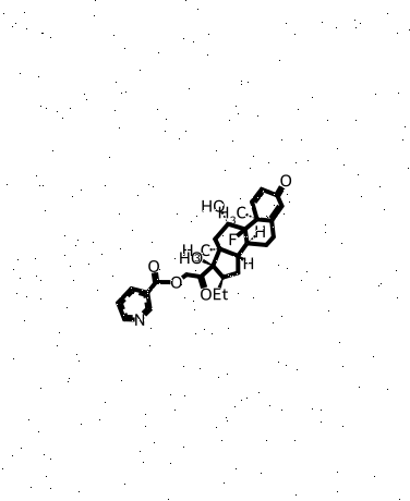 CC[C@@H]1C[C@H]2[C@@H]3CCC4=CC(=O)C=C[C@]4(C)C3(F)[C@@H](O)C[C@]2(C)[C@@]1(O)C(=O)COC(=O)c1cccnc1